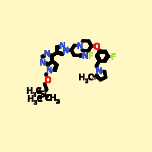 C[C@H]1CCCN1Cc1cc(F)cc(OC2CCN(CC(CC#N)n3cc(-c4ncnc5c4ccn5COCC[Si](C)(C)C)cn3)CC2F)c1